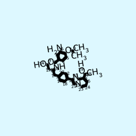 CC(C)Oc1ccc(C(=O)N[C@H](CCO)Cc2ccc(-c3cn4cccc([C@H](C)O)c4n3)cc2)cc1N